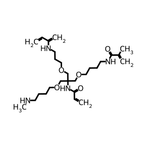 C=CC(=C)NCCCOCC(COCCCCNC)(COCCCCNC(=O)C(=C)C)NC(=O)C=C